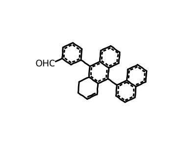 O=Cc1cccc(-c2c3c(c(-c4cccc5ccccc45)c4ccccc24)C=CCC3)c1